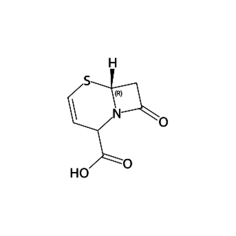 O=C(O)C1C=CS[C@@H]2CC(=O)N12